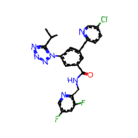 CC(C)c1nnnn1-c1cc(C(=O)NCc2ncc(F)cc2F)cc(-c2ccc(Cl)cn2)c1